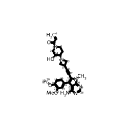 C=CC(=O)N1CC[C@@H](N2CC(C#Cc3c(-c4ccc(OC(C)C)c(OC)c4)c4c(N)ncnc4n3C)C2)[C@@H](O)C1